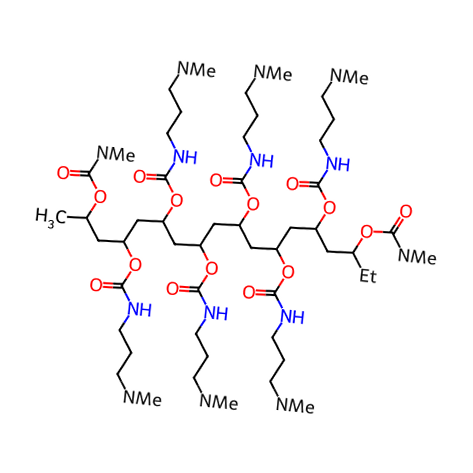 CCC(CC(CC(CC(CC(CC(CC(CC(C)OC(=O)NC)OC(=O)NCCCNC)OC(=O)NCCCNC)OC(=O)NCCCNC)OC(=O)NCCCNC)OC(=O)NCCCNC)OC(=O)NCCCNC)OC(=O)NC